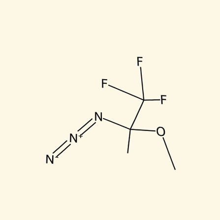 COC(C)(N=[N+]=[N-])C(F)(F)F